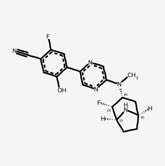 CN(c1cnc(-c2cc(F)c(C#N)cc2O)cn1)[C@@H]1C[C@H]2CC[C@H](N2)[C@@H]1F